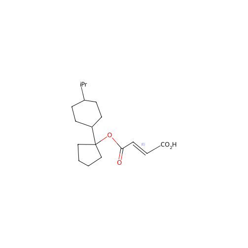 CC(C)C1CCC(C2(OC(=O)/C=C/C(=O)O)CCCC2)CC1